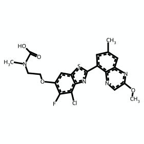 COc1cnc2c(-c3nc4c(Cl)c(F)c(OCCN(C)C(=O)O)cc4s3)cc(C)cc2n1